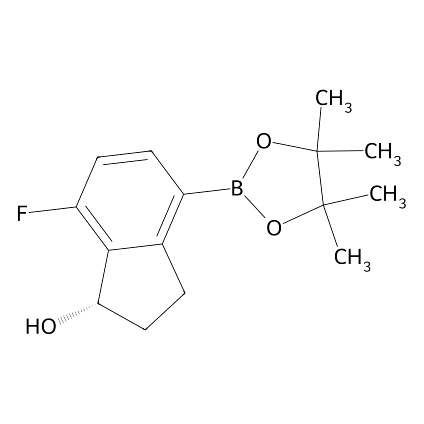 CC1(C)OB(c2ccc(F)c3c2CC[C@@H]3O)OC1(C)C